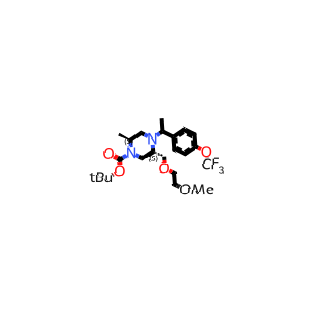 COCCOC[C@@H]1CN(C(=O)OC(C)(C)C)[C@@H](C)CN1C(C)c1ccc(OC(F)(F)F)cc1